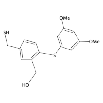 COc1cc(OC)cc(Sc2ccc(CS)cc2CO)c1